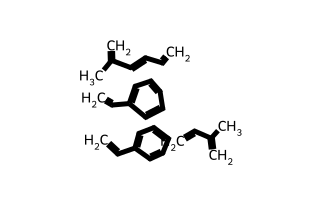 C=CC(=C)C.C=CC=CC(=C)C.C=Cc1ccccc1.C=Cc1ccccc1